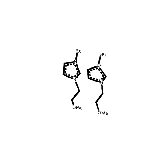 CCC[n+]1ccn(CCOC)c1.CC[n+]1ccn(CCOC)c1